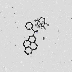 C[N+]1(C)[C@@H]2CC[C@H]1C[C@@H](/C=C(\c1ccccc1)c1cc3ccc4cccc5ccc(c1)c3c45)C2.[Br-]